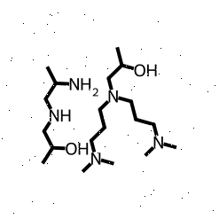 CC(N)CNCC(C)O.CC(O)CN(CCCN(C)C)CCCN(C)C